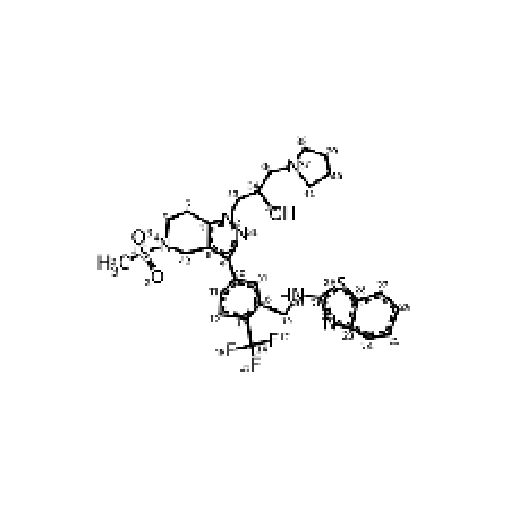 CS(=O)(=O)N1CCc2c(c(-c3ccc(C(F)(F)F)c(CNc4nc5ccccc5s4)c3)nn2CC(O)CN2CCCC2)C1